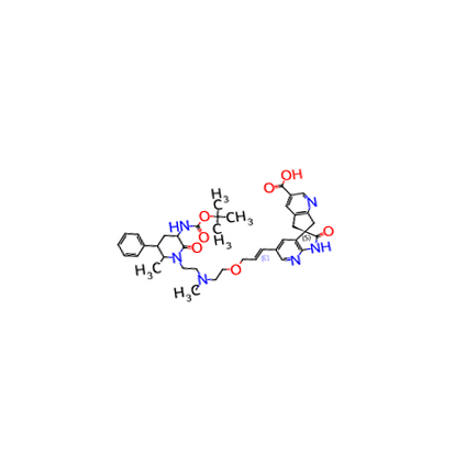 CC1C(c2ccccc2)CC(NC(=O)OC(C)(C)C)C(=O)N1CCN(C)CCOC/C=C/c1cnc2c(c1)[C@@]1(Cc3cc(C(=O)O)cnc3C1)C(=O)N2